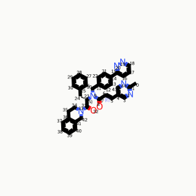 Cc1ncc(/C=C/C(=O)N(Cc2ccc(-c3cccnn3)cc2)[C@@H](Cc2ccccc2)C(=O)N2CCc3ccccc3C2)cn1